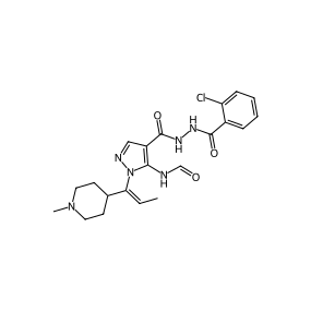 C/C=C(/C1CCN(C)CC1)n1ncc(C(=O)NNC(=O)c2ccccc2Cl)c1NC=O